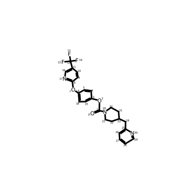 O=C(Oc1ccc(Oc2ccc(C(F)(F)F)cn2)cc1)N1CCC(Cc2ccccn2)CC1